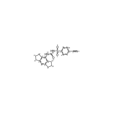 N#Cc1cnc(S(=O)(=O)NC(=O)Nc2c3c(cc4c2CCC4)CCC3)cn1